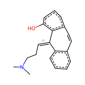 CN(C)CC/C=C1\c2ccccc2C=Cc2cccc(O)c21